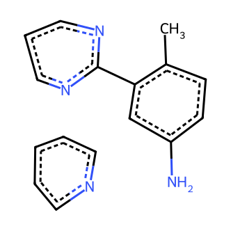 Cc1ccc(N)cc1-c1ncccn1.c1ccncc1